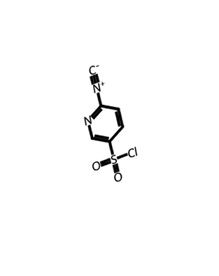 [C-]#[N+]c1ccc(S(=O)(=O)Cl)cn1